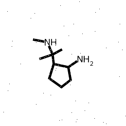 CNC(C)(C)C1CCCC1N